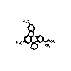 CCC(C)c1ccc2c(c1)C1(CCCCC1)c1cc(C)cc3c4cc(C)ccc4n-2c13